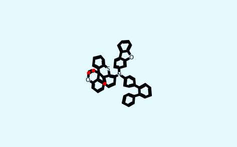 c1ccc(-c2ccccc2-c2ccc(N(c3ccc4c(c3)oc3ccccc34)c3cccc4c3Sc3ccccc3C43c4ccccc4Oc4ccccc43)cc2)cc1